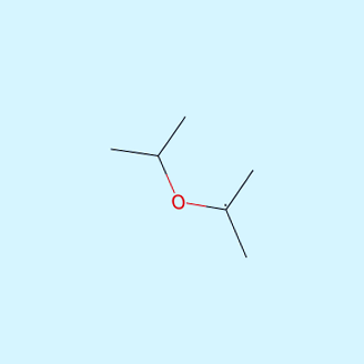 C[C](C)OC(C)C